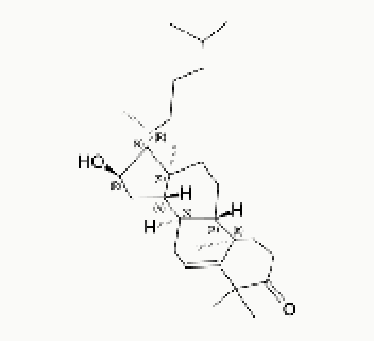 CC(C)CCC[C@@H](C)[C@H]1[C@H](O)C[C@H]2[C@@H]3CC=C4C(C)(C)C(=O)CC[C@]4(C)[C@H]3CC[C@]12C